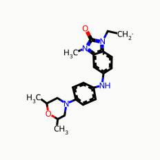 [CH2]Cn1c(=O)n(C)c2cc(Nc3ccc(N4CC(C)OC(C)C4)cc3)ccc21